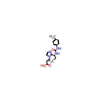 CCC(NC(=O)Nc1ccc(C)cc1)c1nccn1CCC(=O)O